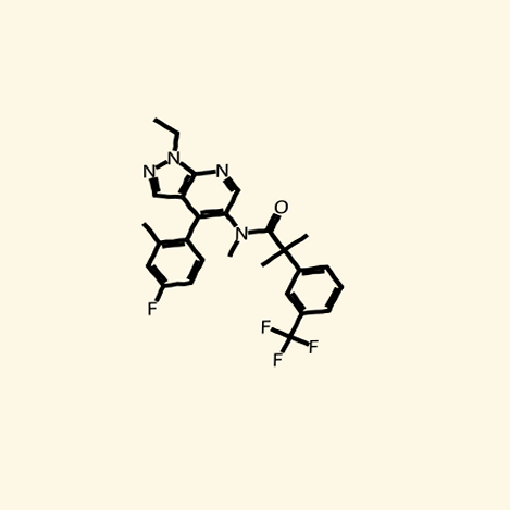 CCn1ncc2c(-c3ccc(F)cc3C)c(N(C)C(=O)C(C)(C)c3cccc(C(F)(F)F)c3)cnc21